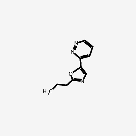 CCCc1ncc(-c2cccnn2)o1